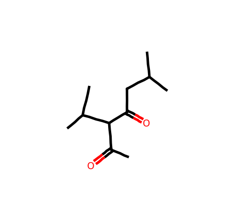 CC(=O)C(C(=O)CC(C)C)C(C)C